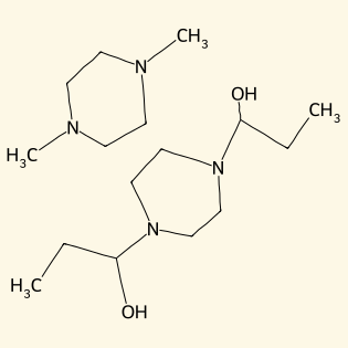 CCC(O)N1CCN(C(O)CC)CC1.CN1CCN(C)CC1